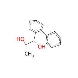 CC(O)[C@@H](O)c1ccccc1-c1ccccc1